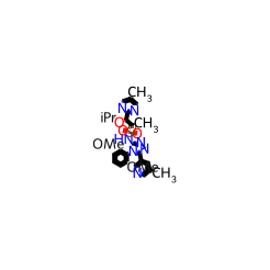 COc1cccc(OC)c1-n1c(NS(=O)(=O)[C@H](C)C(OC(C)C)c2ncc(C)cn2)nnc1-c1cncc(C)c1